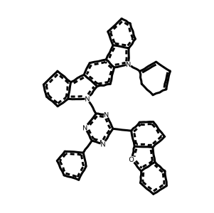 C1=CCCC(n2c3ccccc3c3cc4c5ccccc5n(-c5nc(-c6ccccc6)nc(-c6cccc7c6oc6ccccc67)n5)c4cc32)=C1